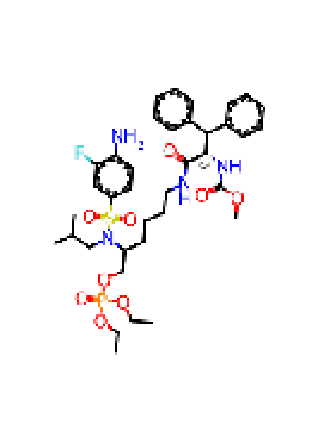 CCOP(=O)(OCC)OCC(CCCCNC(=O)[C@@H](NC(=O)OC)C(c1ccccc1)c1ccccc1)N(CC(C)C)S(=O)(=O)c1ccc(N)c(F)c1